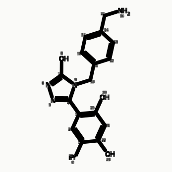 CC(C)c1cc(-c2nnc(O)n2Cc2ccc(CN)cc2)c(O)cc1O